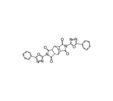 O=C1C2C3C=CC(C2C(=O)N1c1nnc(-c2ccccc2)o1)C1C(=O)N(c2nnc(-c4ccccc4)o2)C(=O)C31